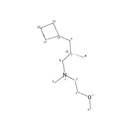 COCCN(C)C[C@@H](C)CC1CCC1